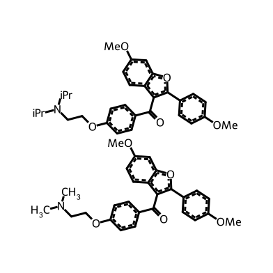 COc1ccc(-c2oc3cc(OC)ccc3c2C(=O)c2ccc(OCCN(C(C)C)C(C)C)cc2)cc1.COc1ccc(-c2oc3cc(OC)ccc3c2C(=O)c2ccc(OCCN(C)C)cc2)cc1